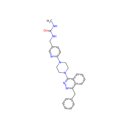 CNC(=O)NCc1ccc(N2CCN(c3nnc(Cc4ccccc4)c4ccccc34)CC2)nc1